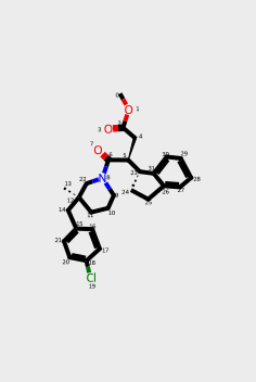 COC(=O)C[C@H](C(=O)N1CCC[C@@](C)(Cc2ccc(Cl)cc2)C1)[C@H]1CCc2ccccc21